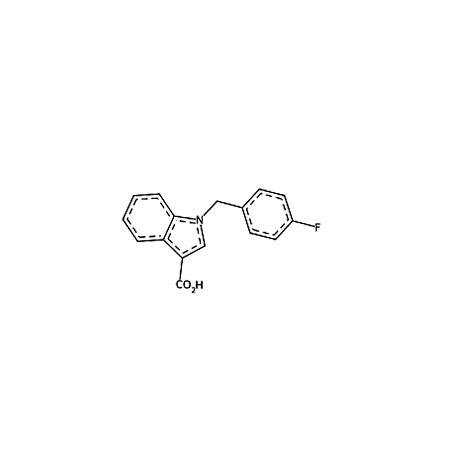 O=C(O)c1cn(Cc2ccc(F)cc2)c2ccccc12